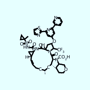 C[C@@H]1CC/C=C\[C@@H]2C[C@@]2(C(=O)NS(=O)(=O)C2(C)CC2)NC(=O)[C@@H]2C[C@@H](Oc3cc(-c4cccnc4)nc(-c4nccs4)c3)C(C(F)(F)F)N2C(=O)[C@@H](N(C(=O)O)C2CCCOC2)[C@H](C)C1